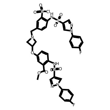 COC(=O)c1cc(OC2CN(Cc3ccc(NS(=O)(=O)c4cnn(-c5ccc(F)cc5)c4)c(S(=O)(=O)Cl)c3)C2)ccc1NS(=O)(=O)c1cnn(-c2ccc(F)cc2)c1